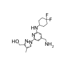 Cc1cn(-c2cc(CN)cc(NC3CCC(F)(F)CC3)n2)nc1CO